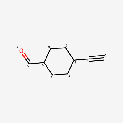 C#CC1CCC(C=O)CC1